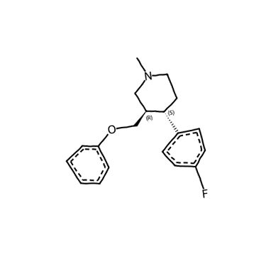 CN1CC[C@H](c2ccc(F)cc2)[C@@H](COc2ccccc2)C1